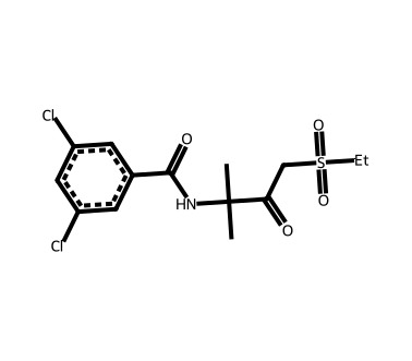 CCS(=O)(=O)CC(=O)C(C)(C)NC(=O)c1cc(Cl)cc(Cl)c1